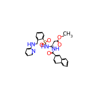 CCOC(=O)C[C@@H](NC(=O)c1ccc2ccccc2c1)NS(=O)(=O)c1ccccc1CNc1ccccn1